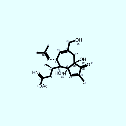 CC(=O)OC(=N)C[C@@H](C)[C@@]1(O)[C@H](C=C(C)C)C=C(CO)C[C@]2(O)C(=O)C(C)=C[C@@H]12